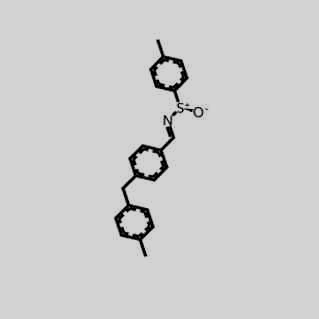 Cc1ccc(Cc2ccc(/C=N/[S@+]([O-])c3ccc(C)cc3)cc2)cc1